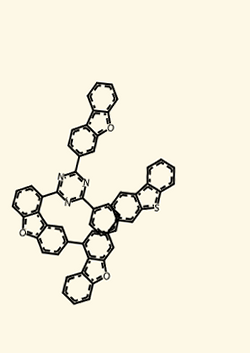 c1ccc(-c2nc(-c3ccc4c(c3)oc3ccccc34)nc(-c3cccc4oc5ccc(-c6cc(-c7ccc8c(c7)sc7ccccc78)cc7oc8ccccc8c67)cc5c34)n2)cc1